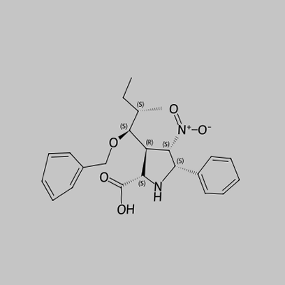 CC[C@H](C)[C@H](OCc1ccccc1)[C@H]1[C@H]([N+](=O)[O-])[C@H](c2ccccc2)N[C@@H]1C(=O)O